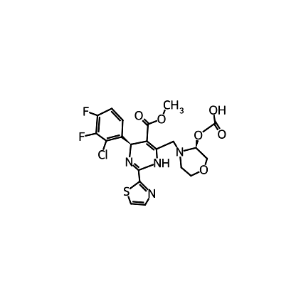 COC(=O)C1=C(CN2CCOC[C@@H]2OC(=O)O)NC(c2nccs2)=N[C@H]1c1ccc(F)c(F)c1Cl